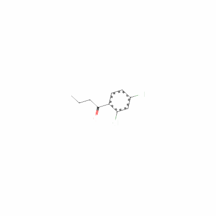 CCCC(=O)c1ccc(Cl)cc1Cl